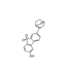 O=S1(=O)c2ccc(O)cc2-c2ccc(N3CCN4CCC3CC4)cc21